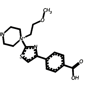 COCC[N+]1(c2nc(-c3ccc(C(=O)O)cc3)cs2)CCNCC1